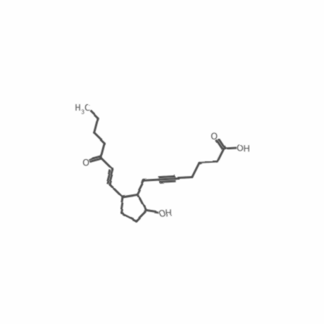 CCCCC(=O)/C=C/C1CCC(O)C1CC#CCCCC(=O)O